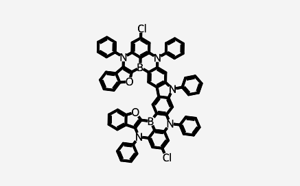 Clc1cc2c3c(c1)N(c1ccccc1)c1c(oc4ccccc14)B3c1cc3c4cc5c(cc4n(-c4ccccc4)c3cc1N2c1ccccc1)N(c1ccccc1)c1cc(Cl)cc2c1B5c1oc3ccccc3c1N2c1ccccc1